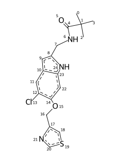 CC(C)(C)C(=O)NCc1cc2cc(Cl)c(OCc3cscn3)cc2[nH]1